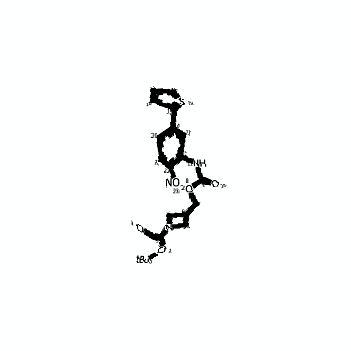 CC(C)(C)OC(=O)N1CC(COC(=O)Nc2cc(-c3cccs3)ccc2[N+](=O)[O-])C1